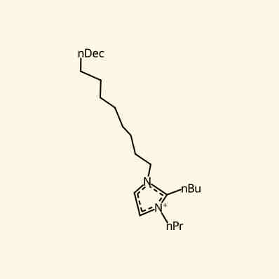 CCCCCCCCCCCCCCCCCCn1cc[n+](CCC)c1CCCC